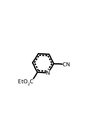 CCOC(=O)c1cccc(C#N)n1